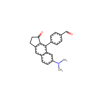 CN(C)c1ccc2cc3c(c(-c4ccc(C=O)cc4)c2c1)C(=O)CC3